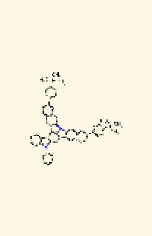 CC(C)(C)c1ccc(-c2ccc3cc4c5cc6c(c7ccccc7n6-c6ccccc6)c6c7cc8ccc(-c9ccc(C(C)(C)C)cc9)cc8cc7n(c4cc3c2)c56)cc1